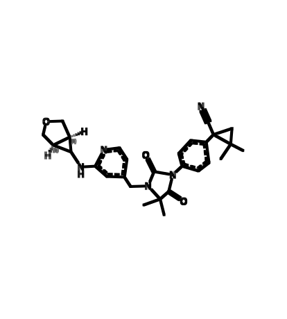 CC1(C)C(=O)N(c2ccc(C3(C#N)CC3(C)C)cc2)C(=O)N1Cc1ccnc(NC2[C@H]3COC[C@@H]23)c1